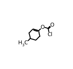 CC1CC=C(OC(=O)Cl)CC1